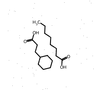 CCCCCCCC(=O)O.O=C(O)CCC1CCCCC1